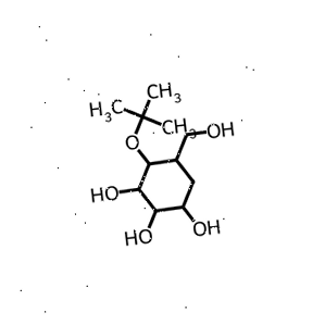 CC(C)(C)OC1C(CO)CC(O)C(O)C1O